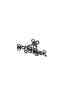 COC(C)(C)C1C2CC=CC2c2cc([N+](=O)[O-])ccc2N1CCCCCn1nc(Cc2ccc(F)c(C(=O)N3CCN(C(=O)C4CC4)CC3)c2)c2ccccc2c1=O